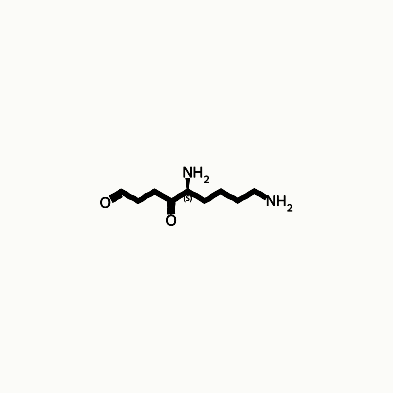 NCCCC[C@H](N)C(=O)CCC=O